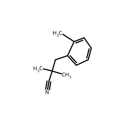 Cc1ccccc1CC(C)(C)C#N